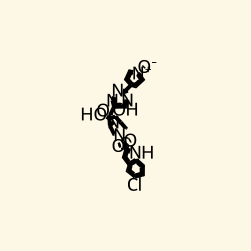 O=C(c1cnc(-c2cc[n+]([O-])cc2)nn1)N1C2CN(S(=O)(=O)c3cc4cc(Cl)ccc4[nH]3)CC1C(O)C2O